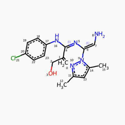 C=C(CO)/C(=N\C(=C/N)n1nc(C)cc1C)Nc1ccc(Cl)cc1